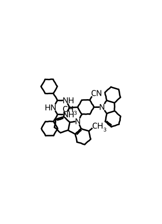 CC1=CCCC2C3=C(C(C)CCC3)N(C3CC(N4C5C=CCCC5C5CCCCC54)C(C#N)CC3C3NC(C4CCCCC4)NC(C4CCCCC4)N3)C12